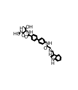 C[C@@H](O)[C@H](NC(=O)c1ccc(-c2ccc(NC(=O)CNCc3c[nH]c4ccccc34)cc2)cc1)C(=O)NO